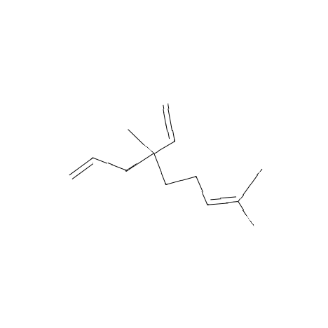 C=CCC(C)(C=C)CCC=C(C)C